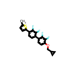 Cc1ccc(-c2ccc(-c3ccc(OCC4CC4)c(F)c3F)c(F)c2F)s1